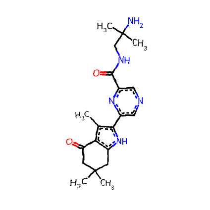 Cc1c(-c2cncc(C(=O)NCC(C)(C)N)n2)[nH]c2c1C(=O)CC(C)(C)C2